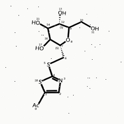 CC(=O)c1cnc(SC[C@H]2OC(CO)[C@@H](O)C(O)C2O)s1